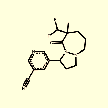 CC1(C(F)F)CCCN2CC[C@@H](c3cncc(C#N)c3)N2C1=O